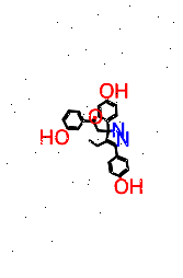 CCC1=C(c2ccc(O)cc2)N=NC1(CC(=O)c1cccc(O)c1)c1ccc(O)cc1